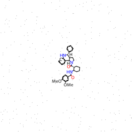 COc1ccc(C(=O)NC2CCCC[C@@H]2C(=O)N2CC[C@@H]3[C@H](c4ccccc4)Nc4ccccc4[C@@H]32)cc1OC